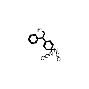 CC(C)CC(C1=CCC(N=C=O)(N=C=O)C=C1)c1ccccc1